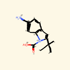 CC(C)(C)c1cc2ccc(N)cc2n1C(=O)O